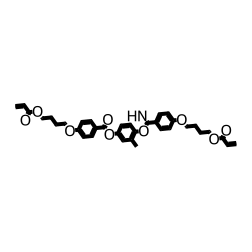 C=CC(=O)OCCCCOc1ccc(C(=N)Oc2ccc(OC(=O)c3ccc(OCCCCOC(=O)C=C)cc3)cc2C)cc1